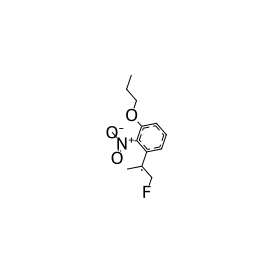 CCCOc1cccc([C](C)CF)c1[N+](=O)[O-]